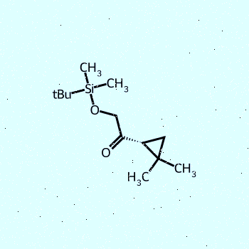 CC1(C)C[C@H]1C(=O)CO[Si](C)(C)C(C)(C)C